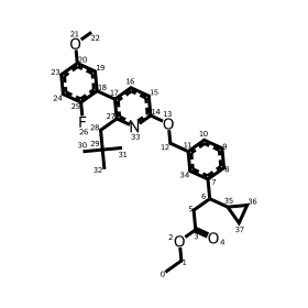 CCOC(=O)CC(c1cccc(COc2ccc(-c3cc(OC)ccc3F)c(CC(C)(C)C)n2)c1)C1CC1